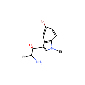 CCC(N)C(=O)c1cn(CC)c2ccc(Br)cc12